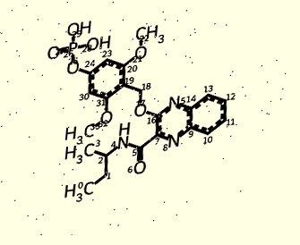 CCC(C)NC(=O)c1nc2ccccc2nc1OCc1c(OC)cc(OP(=O)(O)O)cc1OC